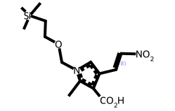 Cc1c(C(=O)O)c(/C=C/[N+](=O)[O-])cn1COCC[Si](C)(C)C